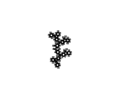 Cc1cc(N(c2ccc3c(c2)C(C)(C)C2=C3C=CCC2)c2ccc3c(c2)c2ccccc2n3-c2ccccc2)ccc1C(C)c1ccc(N(c2ccc3c(c2)C(C)(C)c2ccccc2-3)c2ccc3c(c2)c2ccccc2n3-c2ccccc2)cc1C